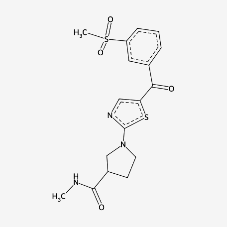 CNC(=O)C1CCN(c2ncc(C(=O)c3cccc(S(C)(=O)=O)c3)s2)C1